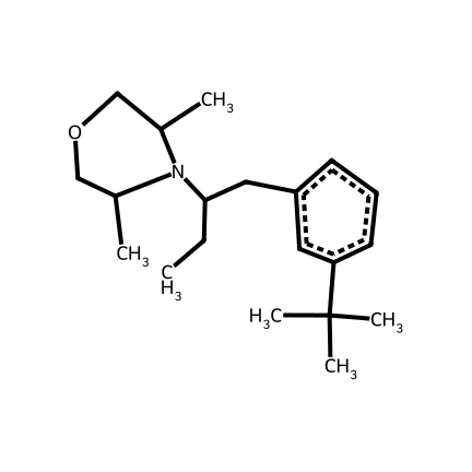 CCC(Cc1cccc(C(C)(C)C)c1)N1C(C)COCC1C